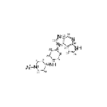 CC(=O)N1CCC(N[C@H]2CC[C@H](n3cnc4cnc5[nH]ccc5c43)CC2)CC1